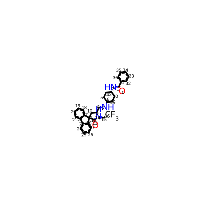 O=C(N[C@H]1CC[C@H](NCCCC2(C(=O)NCC(F)(F)F)c3ccccc3-c3ccccc32)CC1)c1ccccc1